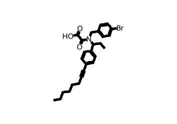 CCCCCCC#Cc1ccc(C(CC)N(Cc2ccc(Br)cc2)C(=O)C(=O)O)cc1